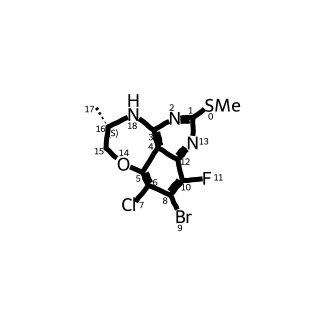 CSc1nc2c3c(c(Cl)c(Br)c(F)c3n1)OC[C@H](C)N2